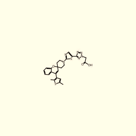 Cc1cc(C2=CC3(CCN(c4ncc(-c5nnn(CC(=O)O)n5)s4)CC3)Oc3ccccc32)c(C)s1